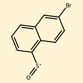 O=[S+]c1[c]ccc2cc(Br)ccc12